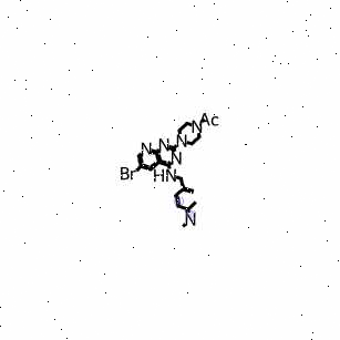 C=C(/C=C\C(C)=N/C)CNc1nc(N2CCN(C(C)=O)CC2)nc2ncc(Br)cc12